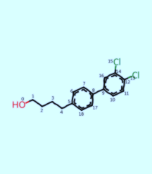 OCCCCc1ccc(-c2ccc(Cl)c(Cl)c2)cc1